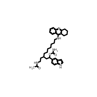 CC(=O)NCCC(CCCCCCCNc1c2c(nc3ccccc13)CCCC2)CC(OC(N)=O)c1ccc2[nH]ccc2c1